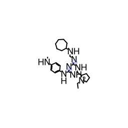 CCN1CCCC1CNC(=N/CNC1CCCCCC1)/N=C(\N)Nc1ccc(NC)cc1